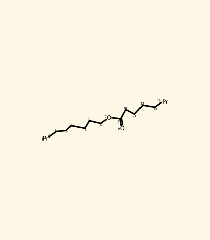 CC(C)CCCCCCOC(=O)CCCCC(C)C